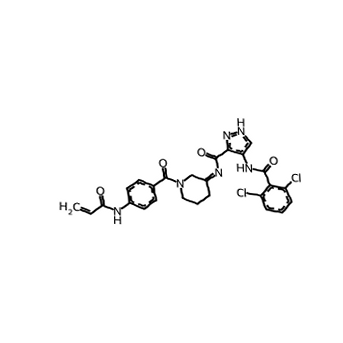 C=CC(=O)Nc1ccc(C(=O)N2CCC/C(=N/C(=O)c3n[nH]cc3NC(=O)c3c(Cl)cccc3Cl)C2)cc1